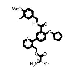 COc1ccc(CNC(=O)c2cc(-c3ncccc3COC(=O)[C@@H](N)C(C)C)ccc2OC2CCCC2)cc1F